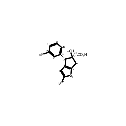 C[C@@]1(C(=O)O)Cc2sc(Br)cc2[C@@H]1c1cccc(F)c1